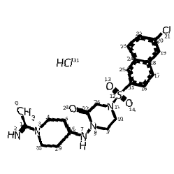 CC(=N)N1CCC(NN2CCN(S(=O)(=O)c3ccc4cc(Cl)ccc4c3)CC2=O)CC1.Cl